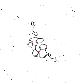 c1ccc2c(c1)-c1ccccc1C2(c1cccc2c(OCC3CO3)cccc12)c1cccc2c(OCC3CO3)cccc12